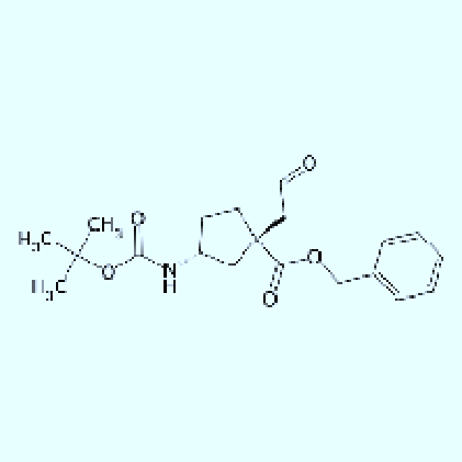 CC(C)(C)OC(=O)N[C@@H]1CC[C@](CC=O)(C(=O)OCc2ccccc2)C1